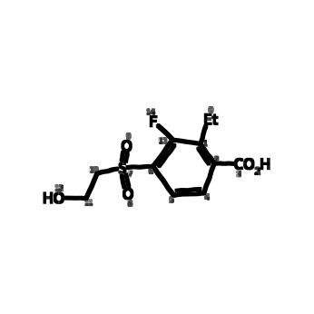 CCc1c(C(=O)O)ccc(S(=O)(=O)CCO)c1F